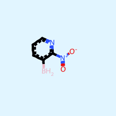 Bc1cccnc1[N+](=O)[O-]